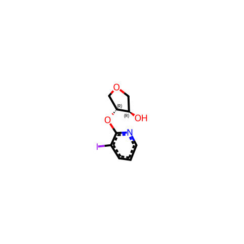 O[C@@H]1COC[C@H]1Oc1ncccc1I